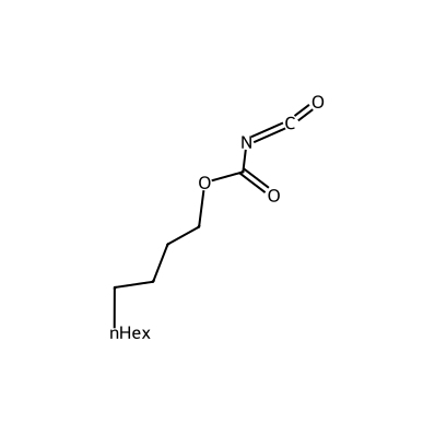 CCCCCCCCCCOC(=O)N=C=O